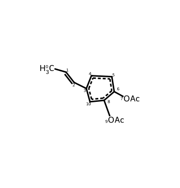 CC=Cc1ccc(OC(C)=O)c(OC(C)=O)c1